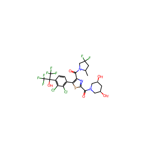 CC1CC(F)(F)CN1C(=O)c1nc(C(=O)N2C[C@H](O)C[C@H](O)C2)sc1-c1ccc(C(O)(C(F)(F)F)C(F)(F)F)c(Cl)c1Cl